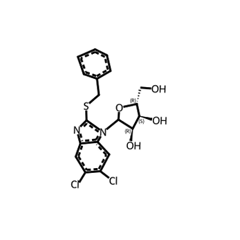 OC[C@H]1OC(n2c(SCc3ccccc3)nc3cc(Cl)c(Cl)cc32)[C@H](O)[C@@H]1O